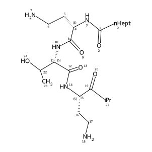 CCCCCCCC(=O)N[C@@H](CCN)C(=O)N[C@H](C(=O)N[C@@H](CCN)C(=O)C(C)C)C(C)O